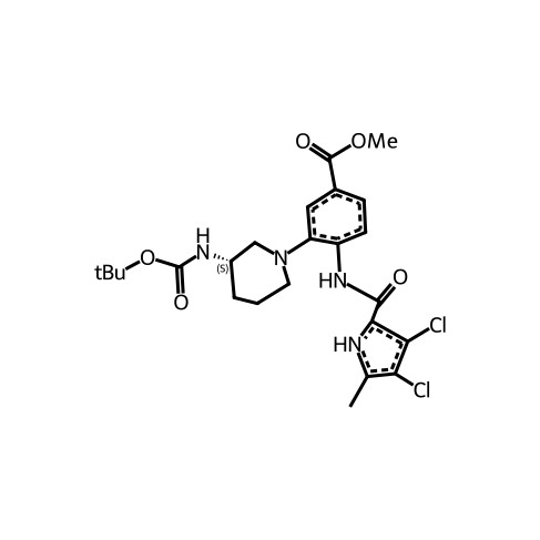 COC(=O)c1ccc(NC(=O)c2[nH]c(C)c(Cl)c2Cl)c(N2CCC[C@H](NC(=O)OC(C)(C)C)C2)c1